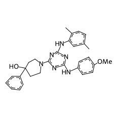 COc1ccc(Nc2nc(Nc3cc(C)ccc3C)nc(N3CCC(O)(c4ccccc4)CC3)n2)cc1